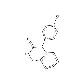 O=C1NCc2ccccc2C1c1ccc(Cl)cc1